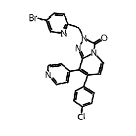 O=c1n(Cc2ccc(Br)cn2)nc2c(-c3ccncc3)c(-c3ccc(Cl)cc3)ccn12